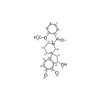 COc1ccccc1C(=O)N1CCCC(CCO)(c2ccc(Cl)c(Cl)c2)C1